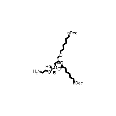 CCCCCCCCCCCCCCCCOC[C@H](COP(=O)(O)OCCN)OC(=O)CCCCCCCCCCCCCCC